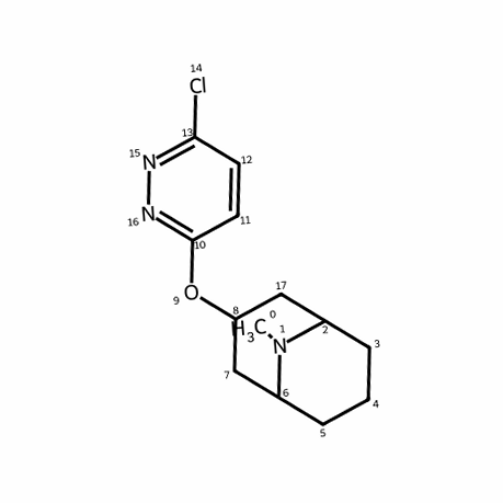 CN1C2CCCC1CC(Oc1ccc(Cl)nn1)C2